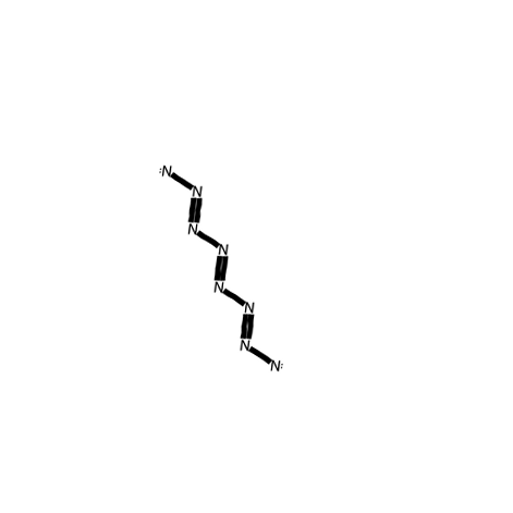 [N]N=NN=NN=N[N]